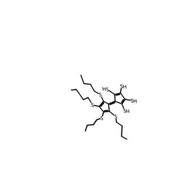 CCCCSC1=C(SCCCC)C(=C2C(S)=C(S)C(S)=C2S)C(SCCCC)=C1SCCCC